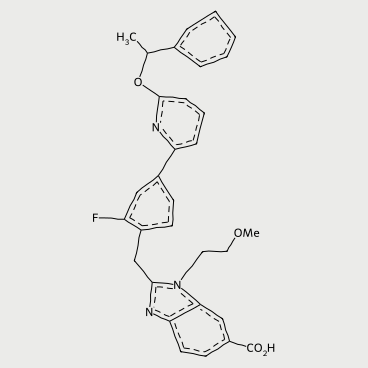 COCCn1c(Cc2ccc(-c3cccc(OC(C)c4ccccc4)n3)cc2F)nc2ccc(C(=O)O)cc21